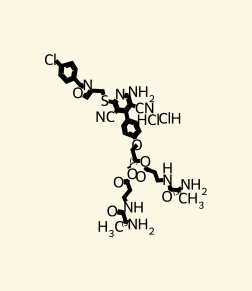 C[C@H](N)C(=O)NCCC(=O)OC[C@H](COc1ccc(-c2c(C#N)c(N)nc(SCc3coc(-c4ccc(Cl)cc4)n3)c2C#N)cc1)OC(=O)CCNC(=O)[C@H](C)N.Cl.Cl